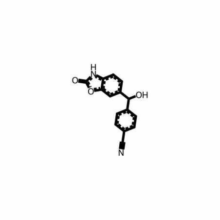 N#Cc1ccc(C(O)c2ccc3[nH]c(=O)oc3c2)cc1